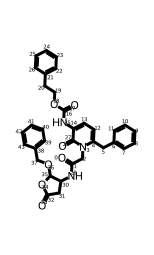 O=C(Cn1c(Cc2ccccc2)ccc(NC(=O)OCCc2ccccc2)c1=O)NC1CC(=O)OC1OCc1ccccc1